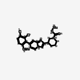 COc1ccc(Cl)c(Cl)c1-c1ccn2cc(C3CCCN(C(=O)OC(C)(C)C)C3)nc2c1